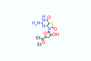 CCO[C@@H](CC)[C@@H]1C[C@@H](O)[C@H](n2c(=O)sc3c(=O)[nH]c(N)nc32)O1